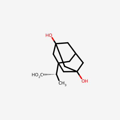 C[C@H](C(=O)O)C12CC3CC(O)(CC(O)(C3)C1)C2